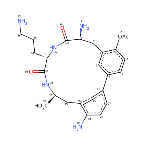 CC(=O)Oc1ccc2cc1C[C@H](N)C(=O)N[C@@H](CCCN)C(=O)N[C@H](C(=O)O)Cc1cc-2ccc1N